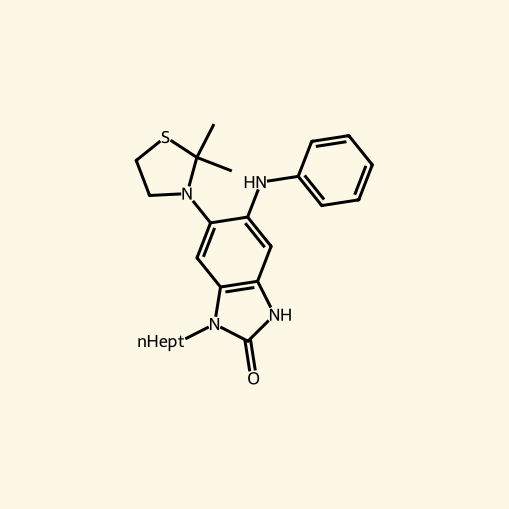 CCCCCCCn1c(=O)[nH]c2cc(Nc3ccccc3)c(N3CCSC3(C)C)cc21